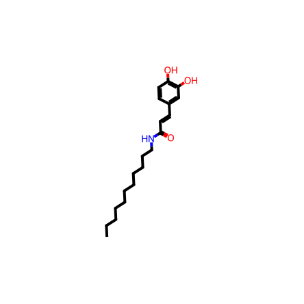 CCCCCCCCCCCNC(=O)C=Cc1ccc(O)c(O)c1